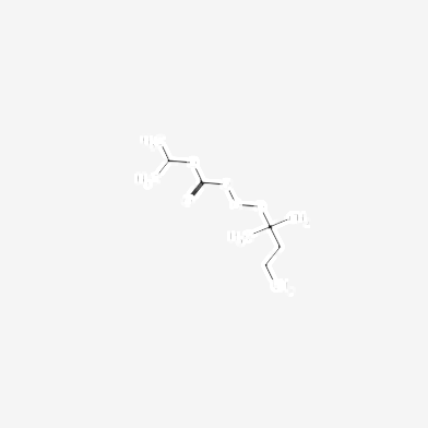 CCCC(C)(C)OOOC(=O)OC(C)C